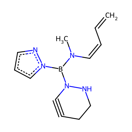 C=C/C=C\N(C)B(N1C#CCCN1)n1cccn1